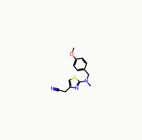 COc1ccc(CN(C)c2nc(CC#N)cs2)cc1